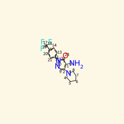 Nc1c(N2CCCCC2)cnn(-c2ccc(C(F)(F)F)cc2)c1=O